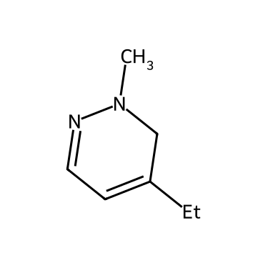 CCC1=CC=NN(C)C1